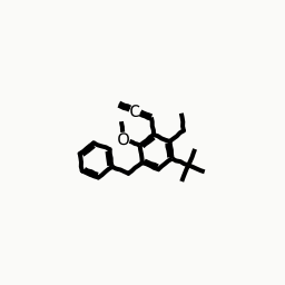 C=C=Cc1c(CC)c(C(C)(C)C)cc(Cc2ccccc2)c1OC